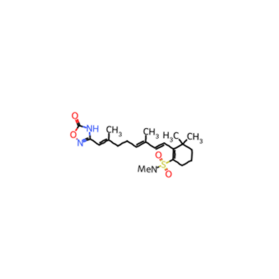 CNS(=O)(=O)C1=C(/C=C/C(C)=C/CC/C(C)=C/c2noc(=O)[nH]2)C(C)(C)CCC1